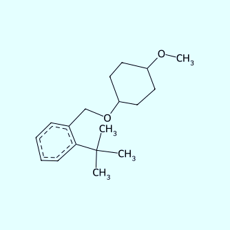 COC1CCC(OCc2ccccc2C(C)(C)C)CC1